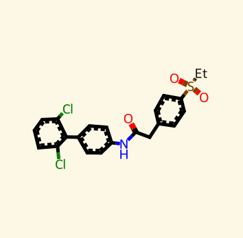 CCS(=O)(=O)c1ccc(CC(=O)Nc2ccc(-c3c(Cl)cccc3Cl)cc2)cc1